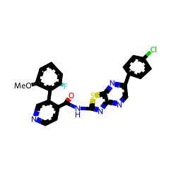 COc1cccc(F)c1-c1cnccc1C(=O)Nc1nc2ncc(-c3ccc(Cl)cc3)nc2s1